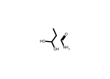 CCC(O)O.NC=O